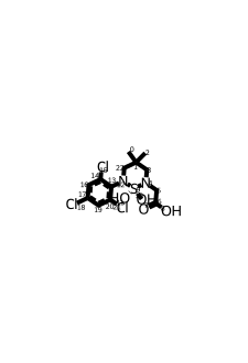 CC1(C)CN(CC(=O)O)S(O)(O)N(c2c(Cl)cc(Cl)cc2Cl)C1